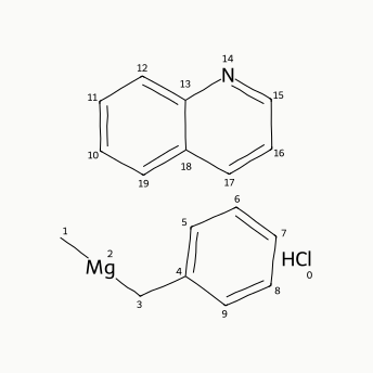 Cl.[CH3][Mg][CH2]c1ccccc1.c1ccc2ncccc2c1